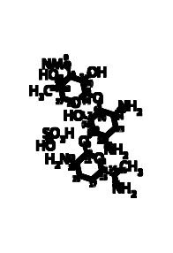 CN[C@@H]1[C@@H](O)[C@@H](O[C@@H]2[C@@H](O)[C@H](O[C@H]3O[C@H](C(C)N)CC[C@H]3N)[C@@H](N)C[C@H]2N)OC[C@]1(C)O.O=S(=O)(O)O